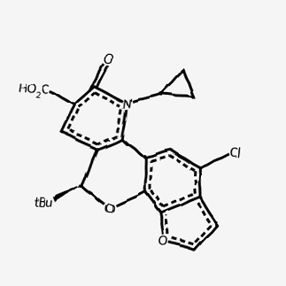 CC(C)(C)[C@@H]1Oc2c(cc(Cl)c3ccoc23)-c2c1cc(C(=O)O)c(=O)n2C1CC1